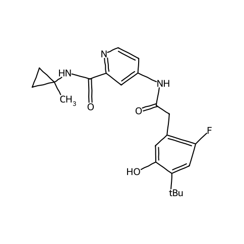 CC1(NC(=O)c2cc(NC(=O)Cc3cc(O)c(C(C)(C)C)cc3F)ccn2)CC1